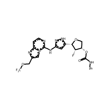 CC(C)NC(=O)O[C@H]1CO[C@@H](c2cc(Nc3nccc4nc(COC(F)(F)F)cn34)n[nH]2)[C@H]1F